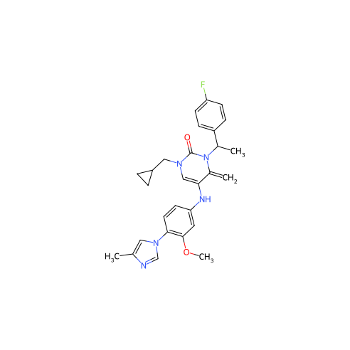 C=C1C(Nc2ccc(-n3cnc(C)c3)c(OC)c2)=CN(CC2CC2)C(=O)N1C(C)c1ccc(F)cc1